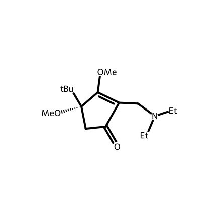 CCN(CC)CC1=C(OC)[C@](OC)(C(C)(C)C)CC1=O